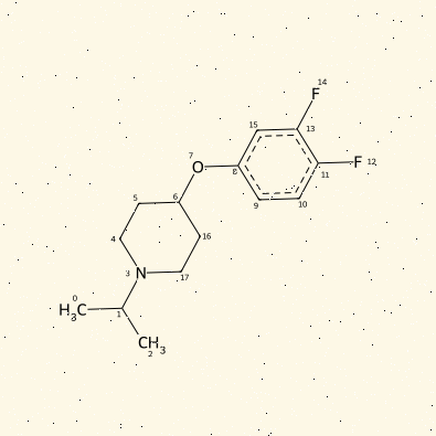 CC(C)N1CCC(Oc2ccc(F)c(F)c2)CC1